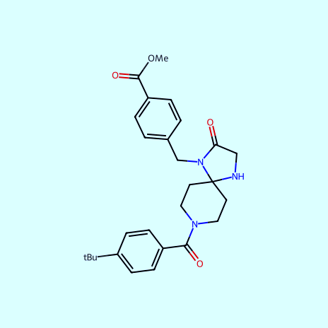 COC(=O)c1ccc(CN2C(=O)CNC23CCN(C(=O)c2ccc(C(C)(C)C)cc2)CC3)cc1